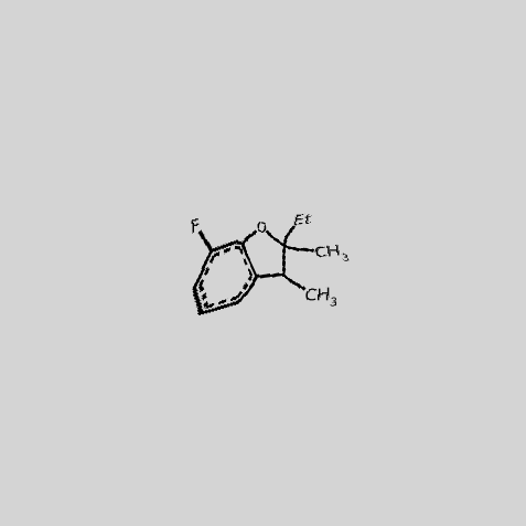 CCC1(C)Oc2c(F)cccc2C1C